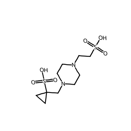 O=S(=O)(O)CCN1CCN(CC2(S(=O)(=O)O)CC2)CC1